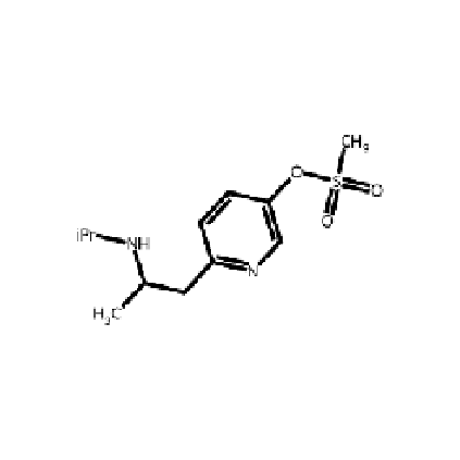 CC(C)NC(C)Cc1ccc(OS(C)(=O)=O)cn1